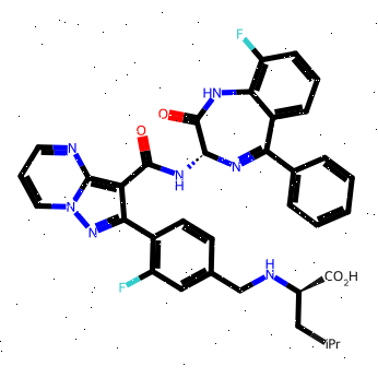 CC(C)C[C@@H](NCc1ccc(-c2nn3cccnc3c2C(=O)N[C@H]2N=C(c3ccccc3)c3cccc(F)c3NC2=O)c(F)c1)C(=O)O